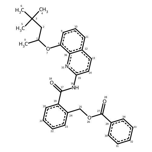 CC(CC(C)(C)C)Oc1cccc2ccc(NC(=O)c3ccccc3COC(=O)c3ccccc3)nc12